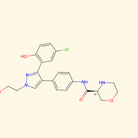 O=C(Nc1ccc(-c2cn(CCO)nc2-c2cc(Cl)ccc2O)cc1)[C@@H]1COCCN1